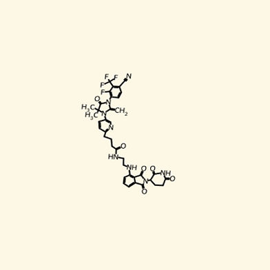 C=C1N(c2ccc(C#N)c(C(F)(F)F)c2F)C(=O)C(C)(C)N1c1ccc(CCCC(=O)NCCNc2cccc3c2C(=O)N(C2CCC(=O)NC2=O)C3=O)nc1